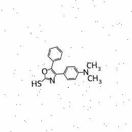 CN(C)c1ccc(-c2nc(S)oc2-c2ccccc2)cc1